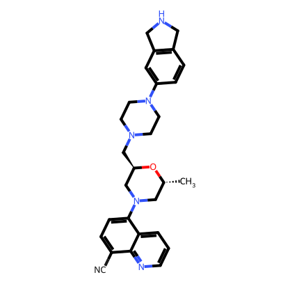 C[C@@H]1CN(c2ccc(C#N)c3ncccc23)C[C@@H](CN2CCN(c3ccc4c(c3)CNC4)CC2)O1